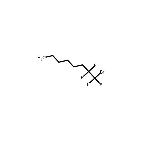 CCCCCCC(F)(F)C(F)(F)Br